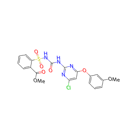 COC(=O)c1ccccc1S(=O)(=O)NC(=O)Nc1nc(Cl)cc(Oc2cccc(OC)c2)n1